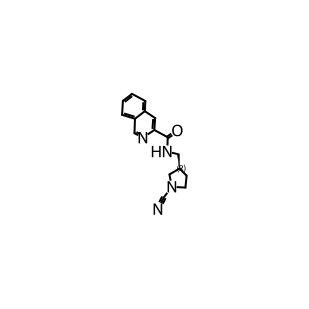 N#CN1CC[C@H](CNC(=O)c2cc3ccccc3cn2)C1